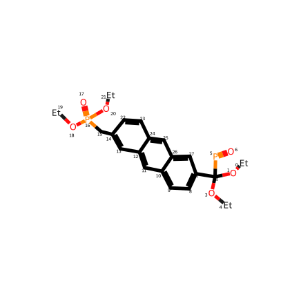 CCOC(OCC)(P=O)c1ccc2cc3cc(CP(=O)(OCC)OCC)ccc3cc2c1